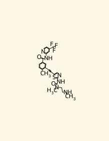 CNCCN(C)C(=O)Nc1ncc(C#Cc2cc(C(=O)Nc3cc(C(F)(F)F)ccn3)ccc2C)s1